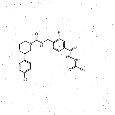 CCc1ccc(C2CN(C(=O)NCc3ccc(C(=O)NNC(=O)C(F)(F)F)cc3F)CCS2)cc1